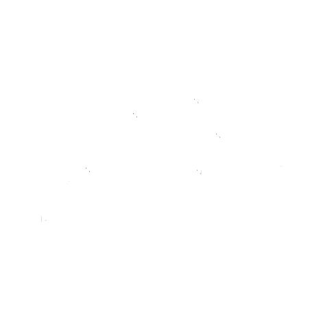 CC(C)(C)OC(=O)N1CC(c2cc3c(Nc4cccc(F)c4F)ncnc3cn2)C1